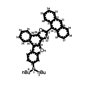 CCCCN(CCCC)c1ccc2c(c1)oc1c3nc(-c4c5ccccc5cc5ccccc45)oc3c3ccccc3c21